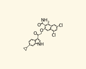 NC(=O)c1cc2cc(Cl)cc(Cl)c2cc1OCC(=O)c1c[nH]c2cc(C3CC3)ccc12